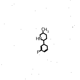 CC1CCC(C2C=C(F)C=CC2)NC1